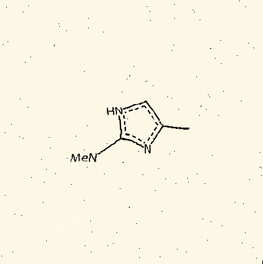 CNc1nc(C)c[nH]1